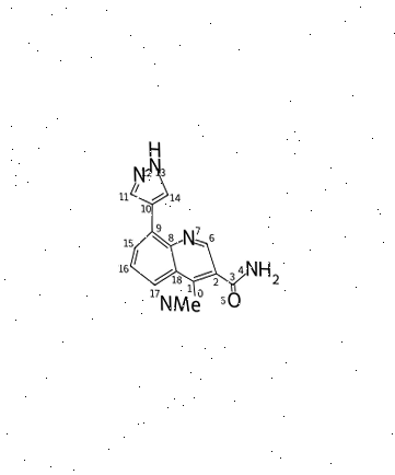 CNc1c(C(N)=O)cnc2c(-c3cn[nH]c3)cccc12